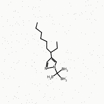 BC(B)(B)n1cc(C(CC)CCCCCC)cn1